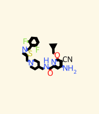 N#Cc1c(N)cc(C(=O)NCC2CCN(Cc3cnc(-c4c(F)cccc4F)s3)CC2)nc1OCC1CC1